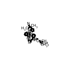 Cc1nc2c(c(C)c1C#N)CCC2N(c1ccc2c(c1)c(-c1cnco1)nn2COCC[Si](C)(C)C)S(=O)(=O)c1ccccc1[N+](=O)[O-]